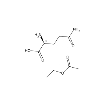 CCOC(C)=O.NC(=O)CC[C@H](N)C(=O)O